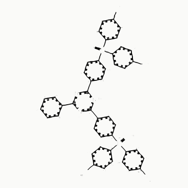 O=P(c1ccc(F)cc1)(c1ccc(F)cc1)c1ccc(-c2nc(-c3ccccc3)nc(-c3ccc(P(=O)(c4ccc(F)cc4)c4ccc(F)cc4)cc3)n2)cc1